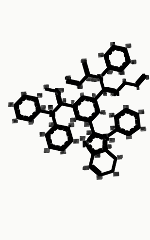 C=CC/N=C(/c1cc(/C(=N/C)N(c2ccccc2)c2ccccc2)cc(-c2nc3c(n2-c2ccccc2)CCC=C3)c1)N(C(=C)C=C)c1ccccc1